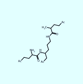 CC(=O)CCC(C)C(=O)NCCCC(CC(C)=O)NC(=O)C(N)CCC(C)=O